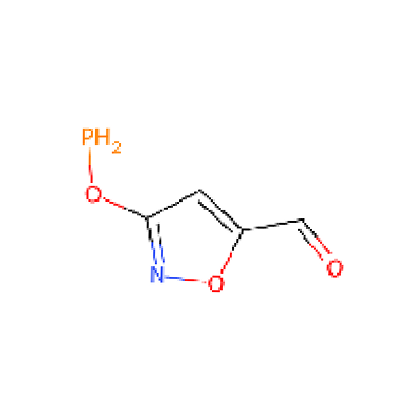 O=Cc1cc(OP)no1